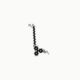 CCCCCCCCCCCCCCCCOc1ccc([C](c2ccccc2)c2ccc(OC)cc2)cc1